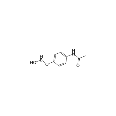 CC(=O)Nc1ccc(OBO)cc1